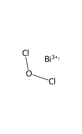 ClOCl.[Bi+3]